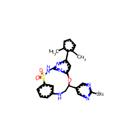 Cc1cccc(C)c1-c1cc2nc(n1)NS(=O)(=O)c1cccc(c1)NCC(c1cnc(C(C)(C)C)nc1)O2